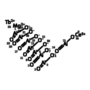 [Ce+3].[Mg+2].[O]=[Al][O-].[O]=[Al][O-].[O]=[Al][O-].[O]=[Al][O-].[O]=[Al][O-].[O]=[Al][O-].[O]=[Al][O-].[O]=[Al][O-].[Tb+3]